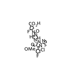 COC(=O)C1=C(CN2CCN3C(=O)N(c4ccc(C(=O)O)cc4F)C[C@@H]3C2)NC(c2nccs2)=N[C@H]1c1ccc(F)cc1Cl